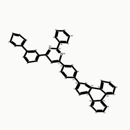 c1ccc(-c2cccc(-c3cc(-c4ccc(-c5ccc6c7ccccc7c7ccccc7c6c5)cc4)nc(-c4ccccc4)n3)c2)cc1